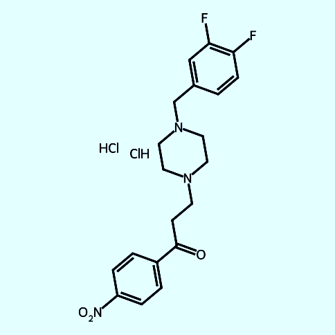 Cl.Cl.O=C(CCN1CCN(Cc2ccc(F)c(F)c2)CC1)c1ccc([N+](=O)[O-])cc1